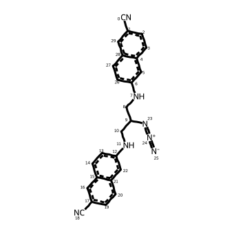 N#Cc1ccc2cc(NCC(CNc3ccc4cc(C#N)ccc4c3)N=[N+]=[N-])ccc2c1